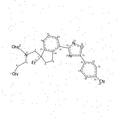 CCC1(CN(C=O)CCO)CCc2c(-c3noc(-c4ccc(C#N)cc4)n3)cccc21